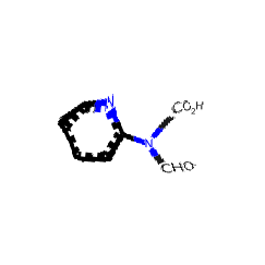 O=[C]N(C(=O)O)c1ccccn1